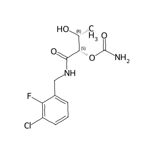 C[C@@H](O)[C@H](OC(N)=O)C(=O)NCc1cccc(Cl)c1F